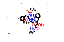 CC(C)CNC(=O)CC(O)C(CC1CCCCC1)NC(=O)[C@H](CC(C)C)NC(=O)[C@H](Cc1ccccc1)NC(=O)OC(C)(C)C